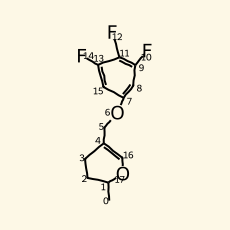 CC1CCC(COc2cc(F)c(F)c(F)c2)=CO1